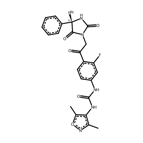 CCC[C@@]1(c2ccccc2)NC(=O)N(CC(=O)c2ccc(NC(=O)Nc3c(C)noc3C)cc2F)C1=O